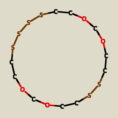 C1CSSCCOCOCCSSSSCCOCO1